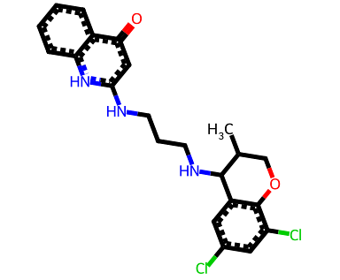 CC1COc2c(Cl)cc(Cl)cc2C1NCCCNc1cc(=O)c2ccccc2[nH]1